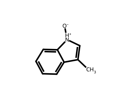 CC1=C[NH+]([O-])c2ccccc21